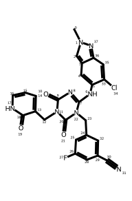 Cn1cc2cc(Nc3nc(=O)n(Cc4ccc[nH]c4=O)c(=O)n3Cc3cc(F)cc(C#N)c3)c(Cl)cc2n1